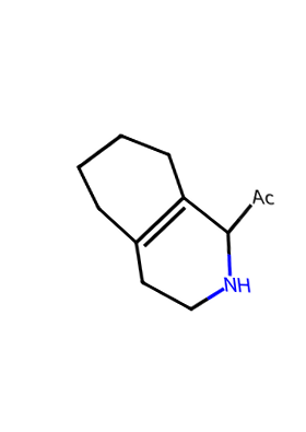 CC(=O)C1NCCC2=C1CCCC2